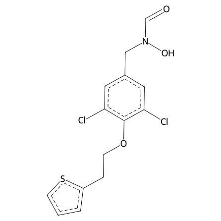 O=CN(O)Cc1cc(Cl)c(OCCc2cccs2)c(Cl)c1